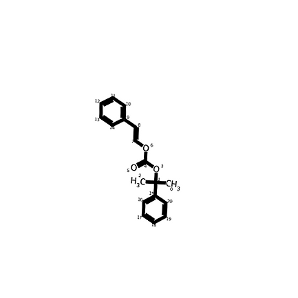 CC(C)(OC(=O)OC=Cc1ccccc1)c1ccccc1